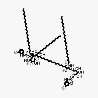 CCCCCCCCCCCCCCCCCCCCCCCCCCNC(CO[C@H]1O[C@H](COC(=S)Nc2ccc(Cl)cc2Cl)[C@H](O)[C@H](O)[C@H]1O)C(O)C(O)CCCCCCCCCCCCCCC(O[C@H]1O[C@H](COC(=S)Nc2cccc(Cl)c2)[C@H](O)[C@H](O)[C@H]1O)[C@@H](NCCCCCCCCCCCCCCCCCCCCCCCCCC)[C@H](O)[C@H](O)CCCCCCCCCCCCCC